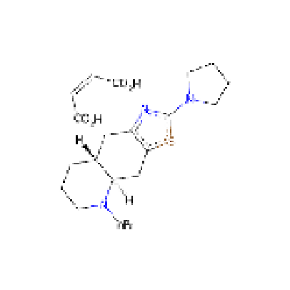 CCCN1CCC[C@@H]2Cc3nc(N4CCCC4)sc3C[C@H]21.O=C(O)/C=C\C(=O)O